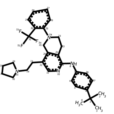 CC(C)(C)c1ccc(Nc2ncc(CCN3CCCC3)c3c2CCN(c2ccccc2C(F)(F)F)C3)cc1